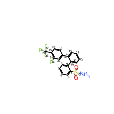 NS(=O)(=O)c1ccccc1-c1ccccc1-c1ccc(C(F)(F)F)c(F)c1